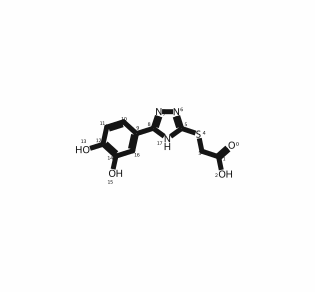 O=C(O)CSc1nnc(-c2ccc(O)c(O)c2)[nH]1